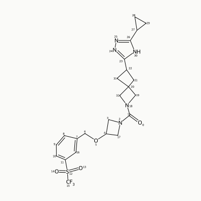 O=C(N1CC(OCc2cccc(S(=O)(=O)C(F)(F)F)c2)C1)N1CC2(CC(c3nnc(C4CC4)[nH]3)C2)C1